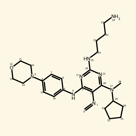 C=Nc1c(Nc2ccc(N3CCOCC3)cc2)nc(NCCCCN)nc1N(C)C1CCCC1